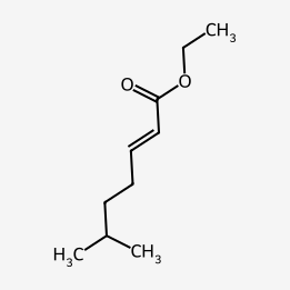 CCOC(=O)/C=C/CCC(C)C